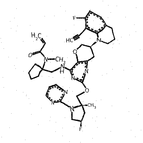 C#Cc1c(F)ccc2c1N([C@@H]1COc3c(nc(OC[C@]4(C)C[C@@H](F)CN4c4ncccn4)nc3NCC3(N(C)C(=O)C=C)CCCC3)C1)CCC2